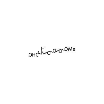 COCCOCCOCCOCCNCC(C)C=O